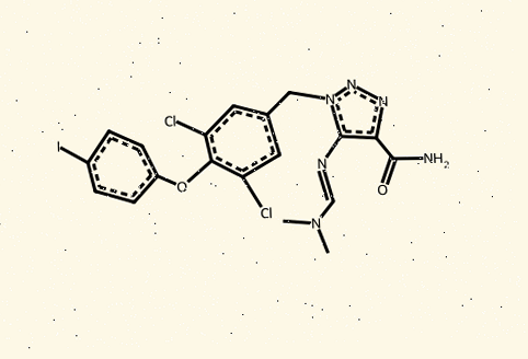 CN(C)C=Nc1c(C(N)=O)nnn1Cc1cc(Cl)c(Oc2ccc(I)cc2)c(Cl)c1